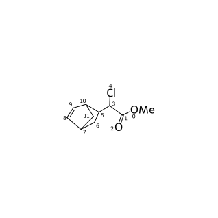 COC(=O)C(Cl)C1CC2C=CC1C2